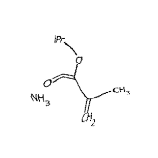 C=C(C)C(=O)OC(C)C.N